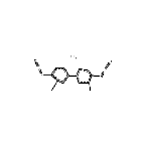 C.Cc1cc(-c2ccc(N=C=O)c(C)c2)ccc1N=C=O